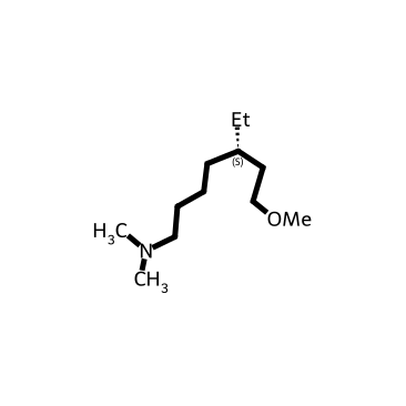 CC[C@@H](CCCCN(C)C)CCOC